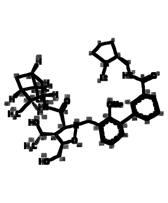 CCN1CCC[C@H]1CNC(=O)c1cccc(-c2cccc(CN3O[C@@H](CO)[C@@H]([C@H](C)O)[C@H]3C(=O)N[C@H]3C[C@H]4C[C@@H]([C@@H]3C)C4(C)C)c2OC)c1